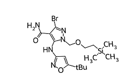 CC(C)(C)c1cc(Nc2c(C(N)=O)c(Br)nn2COCC[Si](C)(C)C)no1